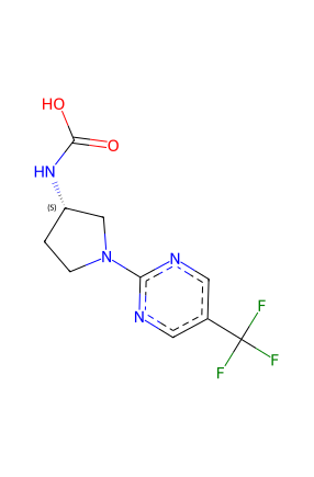 O=C(O)N[C@H]1CCN(c2ncc(C(F)(F)F)cn2)C1